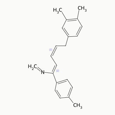 C=N/C(=C\C=C/Cc1ccc(C)c(C)c1)c1ccc(C)cc1